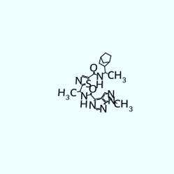 CC(NC(=O)c1ncnc2c1cnn2C)c1ncc(C(=O)NC(C)C2CC3CCC2C3)s1